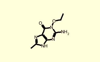 CCOn1c(N)nc2[nH]c(C)nc2c1=O